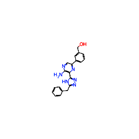 Nc1ncc(-c2cccc(CO)c2)nc1-c1nnc(Cc2ccccc2)[nH]1